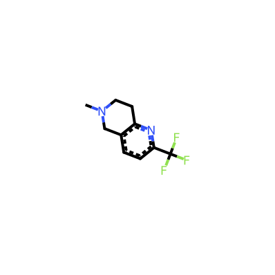 CN1CCc2nc(C(F)(F)F)ccc2C1